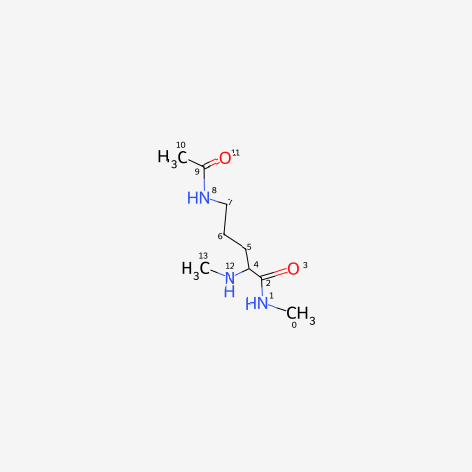 CNC(=O)C(CCCNC(C)=O)NC